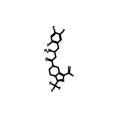 CC(=O)c1nc(C(F)(F)F)n2c1CN(C(=O)CC(N)Cc1cc(F)c(F)cc1F)CC2